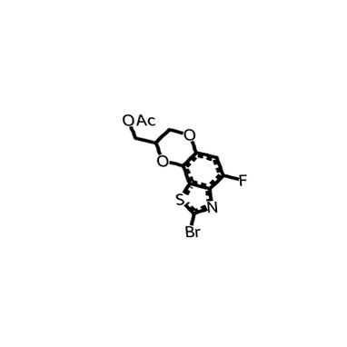 CC(=O)OCC1COc2cc(F)c3nc(Br)sc3c2O1